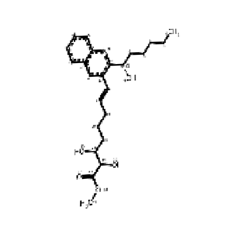 CCCCC[C@H](O)c1nc2ccccc2cc1C=CCCCC(O)C(O)C(=O)OC